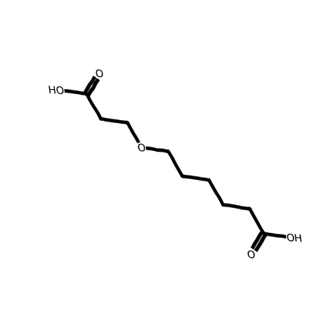 O=C(O)CCCCCOCCC(=O)O